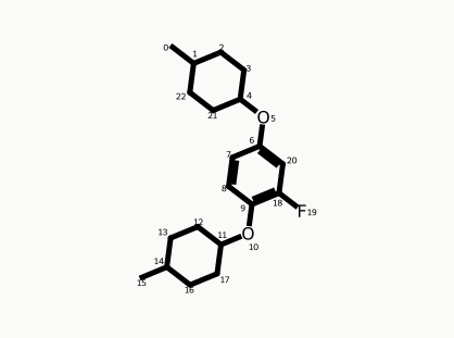 CC1CCC(Oc2ccc(OC3CCC(C)CC3)c(F)c2)CC1